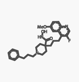 COc1ccc2ncc(F)c(CCCC3(C(=O)NO)CCN(CCCc4ccccc4)CC3)c2c1